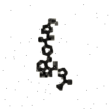 Cc1cnc(NC(=O)c2ccc(Oc3ccnc4[nH]nc(N[C@@H]5CCN(C(=O)C6CC6)C5)c34)cc2)s1